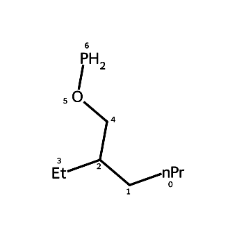 CCCCC(CC)COP